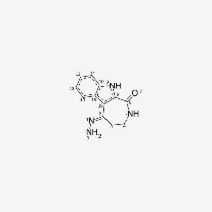 NN=C1CCNC(=O)c2[nH]c3ccccc3c21